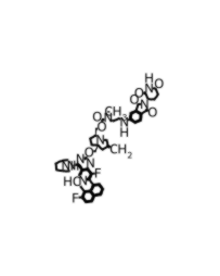 C#Cc1c(F)ccc2cccc(-c3ncc4c(N5CC6CCC(C5)N6)nc(OC[C@@]56CC[C@@H](COC(=O)N(C)CCNc7ccc8c(c7)C(=O)N(C7CCC(=O)NC7=O)C8=O)N5CC(=C)C6)nc4c3F)c12